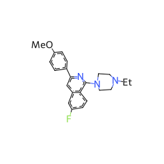 CCN1CCN(c2nc(-c3ccc(OC)cc3)cc3cc(F)ccc23)CC1